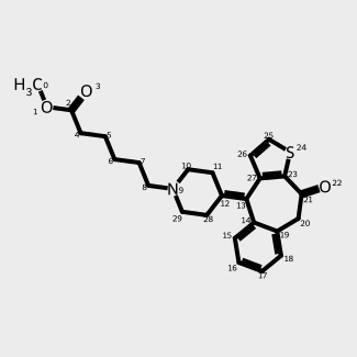 COC(=O)CCCCCN1CCC(=C2c3ccccc3CC(=O)c3sccc32)CC1